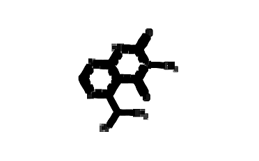 CC(C)C(N)c1ncnc2[nH]c(=O)n(C)c(=O)c12